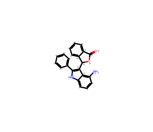 Nc1cccc2[nH]c(-c3ccccc3)c(C3OC(=O)c4ccccc43)c12